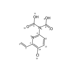 C=Cc1nc(N(C(=O)O)C(=O)O)ccc1Cl